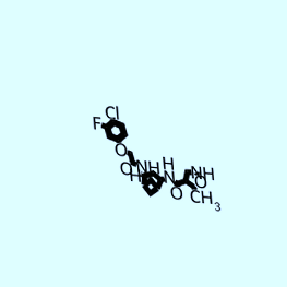 CC1ONCC1C(=O)NC1C[C@H](NC(=O)COc2ccc(Cl)c(F)c2)C2CC1C2